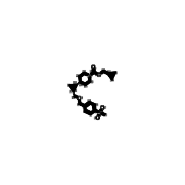 CS(=O)(=O)c1ccc(COC[C@@H]2C[C@@H]2C2CCN(C(=O)OCC3CC3)CC2)cc1